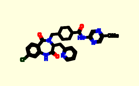 COc1cnc(NC(=O)C2CCC(CN3C(=O)c4ccc(Cl)cc4NC(=O)C3Cc3ccccn3)CC2)cn1